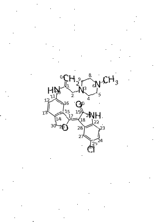 C=C(CN1CCN(C)CC1)Nc1ccc2c(c1)/C(=C1\C(=O)Nc3ccc(Cl)cc31)OC2